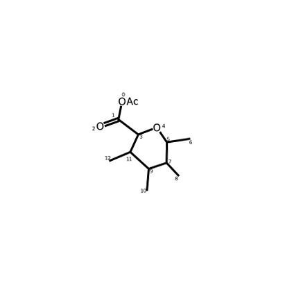 CC(=O)OC(=O)C1OC(C)C(C)C(C)C1C